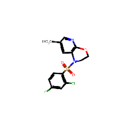 O=C(O)c1cnc2c(c1)N(S(=O)(=O)c1ccc(F)cc1Cl)CCO2